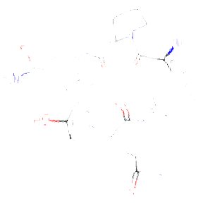 CC(C)C[C@H](N)C(=O)N1CCC[C@H]1C(=O)N[C@@H](CCC(N)=O)C(=O)N[C@H](C(=O)N[C@@H](CCC(N)=O)C(=O)N[C@@H](CCC(=O)O)C(=O)O)[C@@H](C)O